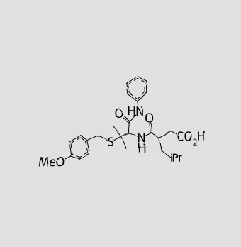 COc1ccc(CSC(C)(C)C(NC(=O)C(CC(=O)O)CC(C)C)C(=O)Nc2ccccc2)cc1